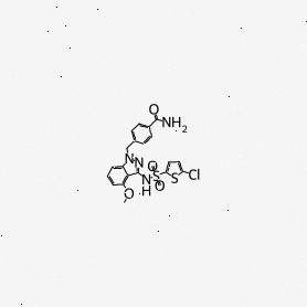 COc1cccc2c1c(NS(=O)(=O)c1ccc(Cl)s1)nn2Cc1ccc(C(N)=O)cc1